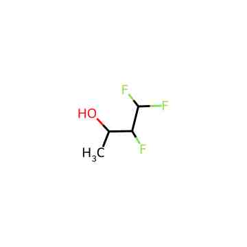 CC(O)C(F)C(F)F